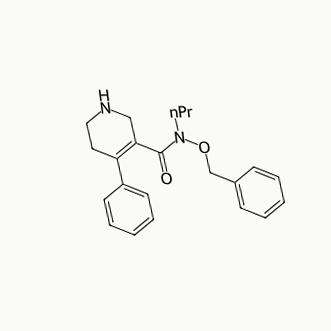 CCCN(OCc1ccccc1)C(=O)C1=C(c2ccccc2)CCNC1